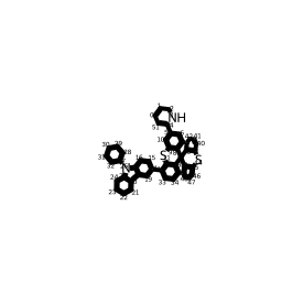 C1=CCNC(c2ccc3c(c2)Sc2c(-c4ccc5c(c4)c4ccccc4n5-c4ccccc4)cccc2C32C3=C(C=CCC3)Sc3ccccc32)=C1